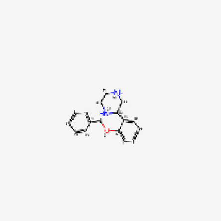 c1ccc(COc2ccccc2C2CNCCN2)cc1